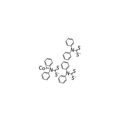 S=C([S-])N(c1ccccc1)c1ccccc1.S=C([S-])N(c1ccccc1)c1ccccc1.S=C([S-])N(c1ccccc1)c1ccccc1.[Co+3]